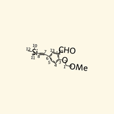 COCOc1ccc(C#C[Si](C)(C)C)cc1C=O